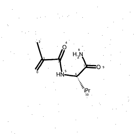 C=C(C)C(=O)N[C@H](C(N)=O)C(C)C